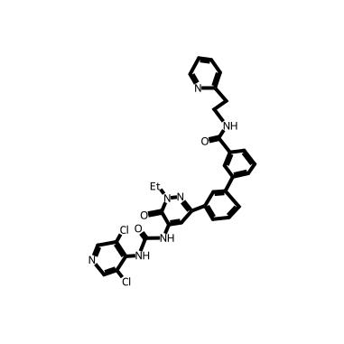 CCn1nc(-c2cccc(-c3cccc(C(=O)NCCc4ccccn4)c3)c2)cc(NC(=O)Nc2c(Cl)cncc2Cl)c1=O